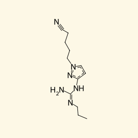 CCC/N=C(/N)Nc1ccn(CCCCC#N)n1